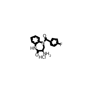 Cl.NC1CN(C(=O)c2ccc(F)cc2)c2ccccc2NC1=O